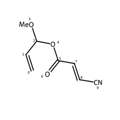 C=CC(OC)OC(=O)C=CC#N